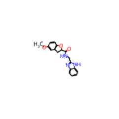 COc1ccc2c(c1)CC(C(=O)NCc1nc3ccccc3[nH]1)O2